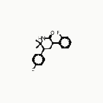 CC1(C)NC(=O)C(c2ccccc2F)CC1c1ccc(F)cc1